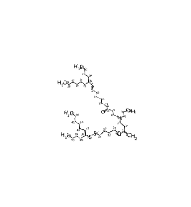 C=C(CCN(CCO)CCC(=O)OCCCCSSC(CCCC)CCCCCC)OCCCCSSC(CCCC)CCCCCC